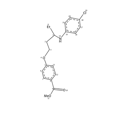 CCC(CCOc1ccc(C(=O)OC)cc1)Nc1ccc(Cl)cc1